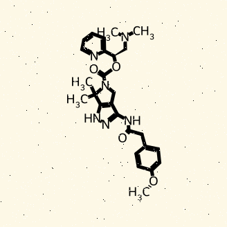 COc1ccc(CC(=O)Nc2n[nH]c3c2CN(C(=O)O[C@H](CN(C)C)c2ccccn2)C3(C)C)cc1